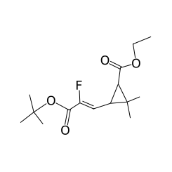 CCOC(=O)C1C(C=C(F)C(=O)OC(C)(C)C)C1(C)C